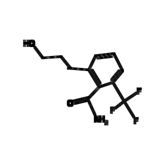 NC(=O)c1c([CH]CCO)cccc1C(F)(F)F